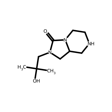 CC(C)(O)CN1CC2CNCCN2C1=O